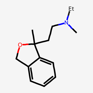 CCN(C)CCC1(C)OCc2ccccc21